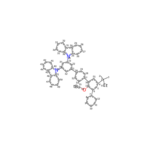 CCC(C)(C)c1cc(-c2ccccc2)c(OC(C)(C)C)c(-c2ccc(-c3cc(-n4c5ccccc5c5ccccc54)cc(-n4c5ccccc5c5ccccc54)c3)cc2)c1